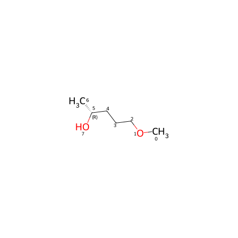 COCCC[C@@H](C)O